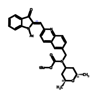 CC(=O)N1/C(=C\c2ccc3cc(CN(C(=O)OC(C)(C)C)C4C[C@@H](C)O[C@@H](C)C4)ccc3n2)C(=O)c2ccccc21